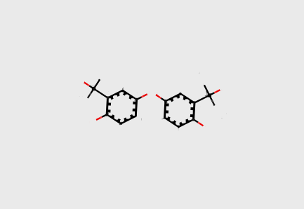 CC(O)(c1cc(Oc2ccc(O)c(C(C)(O)C(F)(F)F)c2)ccc1O)C(F)(F)F